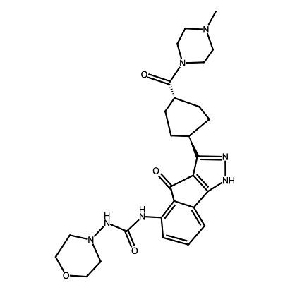 CN1CCN(C(=O)[C@H]2CC[C@H](c3n[nH]c4c3C(=O)c3c(NC(=O)NN5CCOCC5)cccc3-4)CC2)CC1